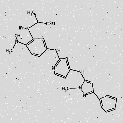 CC(C)N(c1cc(Nc2nccc(Nc3cc(-c4ccccc4)nn3C)n2)ccc1N(C)C)C(C)C=O